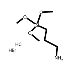 Br.CO[Si](CCCN)(OC)OC.Cl